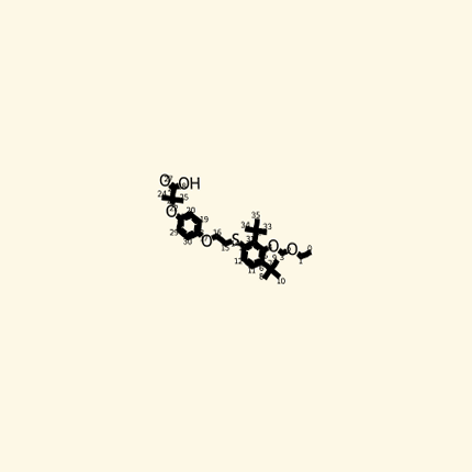 CCOCOc1c(C(C)(C)C)ccc(SCCOc2ccc(OC(C)(C)C(=O)O)cc2)c1C(C)(C)C